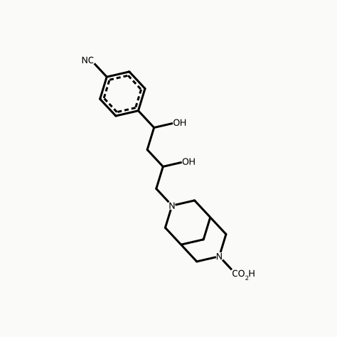 N#Cc1ccc(C(O)CC(O)CN2CC3CC(C2)CN(C(=O)O)C3)cc1